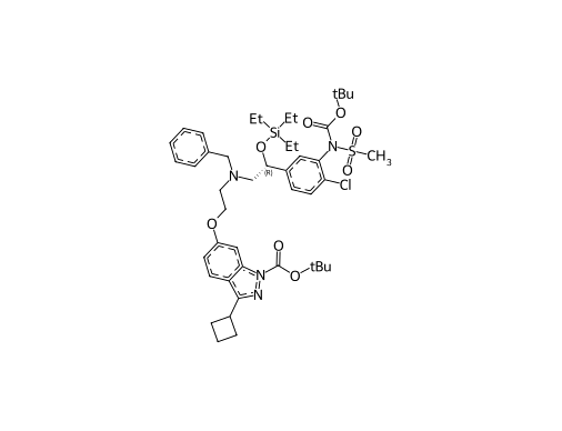 CC[Si](CC)(CC)O[C@@H](CN(CCOc1ccc2c(C3CCC3)nn(C(=O)OC(C)(C)C)c2c1)Cc1ccccc1)c1ccc(Cl)c(N(C(=O)OC(C)(C)C)S(C)(=O)=O)c1